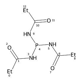 CCC(=O)NP(NC(=O)CC)NC(=O)CC